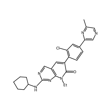 CCn1c(=O)c(-c2ccc(-c3cncc(C)n3)cc2Cl)cc2cnc(NC3CCCCC3)nc21